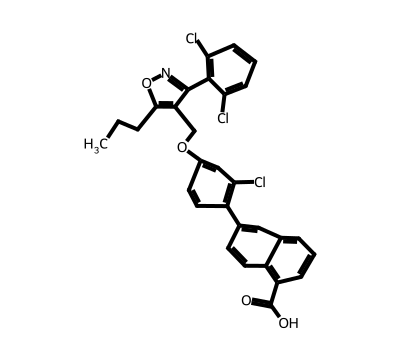 CCCc1onc(-c2c(Cl)cccc2Cl)c1COc1ccc(-c2ccc3c(C(=O)O)cccc3c2)c(Cl)c1